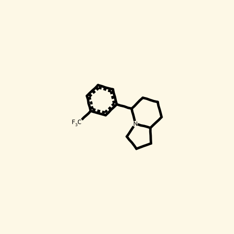 FC(F)(F)c1cccc(C2CCCC3CCCN32)c1